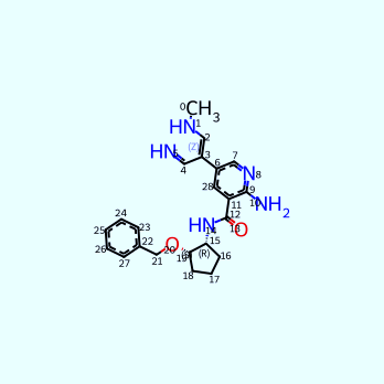 CN/C=C(\C=N)c1cnc(N)c(C(=O)N[C@@H]2CCC[C@@H]2OCc2ccccc2)c1